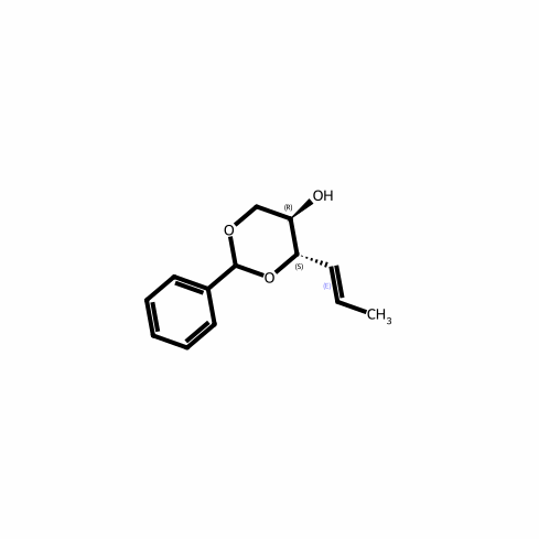 C/C=C/[C@@H]1OC(c2ccccc2)OC[C@H]1O